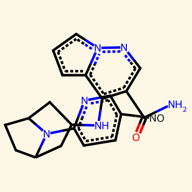 NC(=O)c1cnn2cccc2c1NC1CC2CCC(C1)N2c1ccc(N=O)cn1